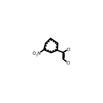 O=[N+]([O-])c1cccc(C(Cl)=CCl)c1